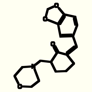 O=C1C(=Cc2ccc3c(c2)OCO3)CCCC1CN1CCOCC1